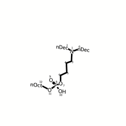 CCCCCCCCCCN(CCCCCCCCCC)CCCCOP(=O)(O)OCCCCCCCC